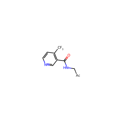 CC(=O)CNC(=O)c1cnccc1C(F)(F)F